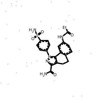 CCC(=O)Nc1ccc2c(c1)-c1c(c(C(N)=O)nn1-c1ccc(S(N)(=O)=O)cc1)CC2